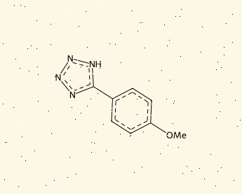 COc1[c]cc(-c2nnn[nH]2)cc1